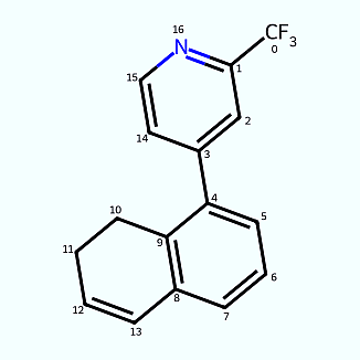 FC(F)(F)c1cc(-c2cccc3c2CCC=C3)ccn1